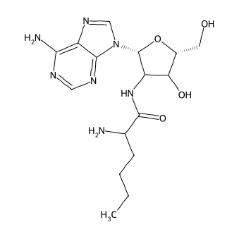 CCCCC(N)C(=O)NC1C(O)[C@@H](CO)O[C@H]1n1cnc2c(N)ncnc21